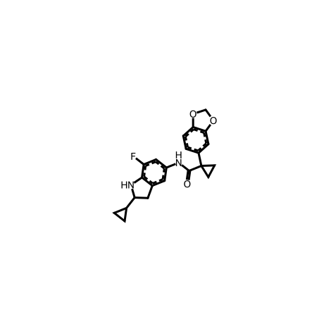 O=C(Nc1cc(F)c2c(c1)CC(C1CC1)N2)C1(c2ccc3c(c2)OCO3)CC1